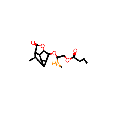 CCCC(=O)OCC(OC1C2OC(=O)C3C(C)C4C1C4C23)PC